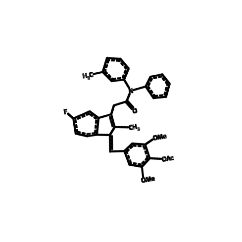 COc1cc(C=C2C(C)=C(CC(=O)N(c3ccccc3)c3cccc(C)c3)c3cc(F)ccc32)cc(OC)c1OC(C)=O